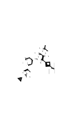 Cc1cnc2c(C34CC(C(F)(F)F)(C3)C4)nc([C@H]3C[C@@H](C)O[C@@H](c4cnn(C5CC5)c4)C3)nc2n1